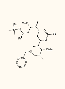 CO[C@@H]([C@@H](C)[C@@H](CC[C@H](C)[C@H](C[C@H](O[Si](C)(C)C(C)(C)C)C(C)C)OC)OC(=O)C(C)C)[C@H](C)COCc1ccccc1